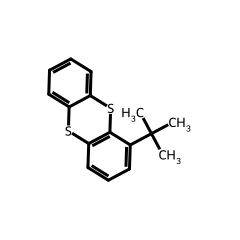 CC(C)(C)c1cccc2c1Sc1ccccc1S2